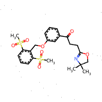 CC1(C)COC(CCC(=O)c2cccc(OCc3c(S(C)(=O)=O)cccc3S(C)(=O)=O)c2)=N1